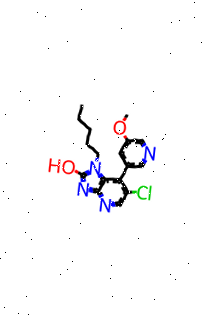 CCCCCn1c(O)nc2ncc(Cl)c(-c3cncc(OC)c3)c21